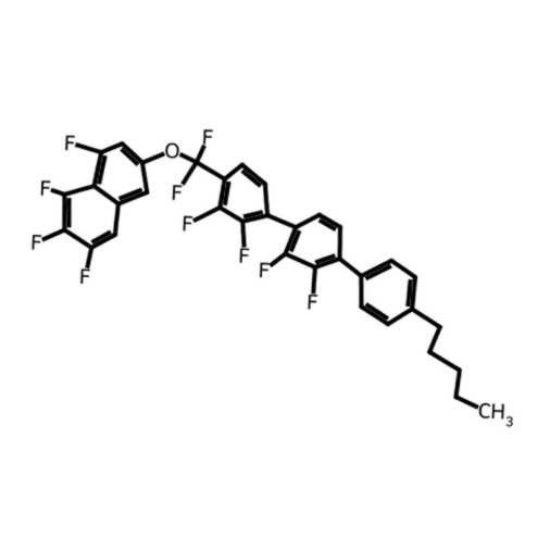 CCCCCc1ccc(-c2ccc(-c3ccc(C(F)(F)Oc4cc(F)c5c(F)c(F)c(F)cc5c4)c(F)c3F)c(F)c2F)cc1